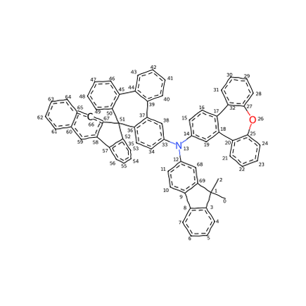 CC1(C)c2ccccc2-c2ccc(N(c3ccc4c(c3)-c3ccccc3Oc3ccccc3-4)c3ccc4c(c3)-c3ccccc3-c3ccccc3C43c4ccccc4-c4cc5ccccc5cc43)cc21